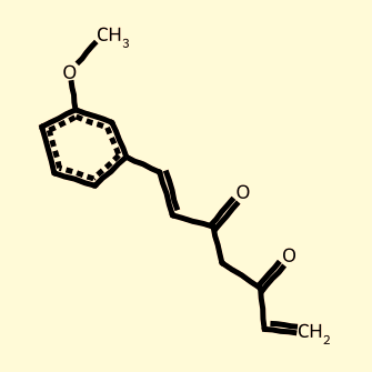 C=CC(=O)CC(=O)C=Cc1cccc(OC)c1